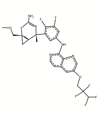 COC[C@]12C[C@H]1[C@@](C)(c1cc(Nc3nccc4cc(OCC(F)(F)C(F)F)cnc34)cc(F)c1F)N=C(N)S2